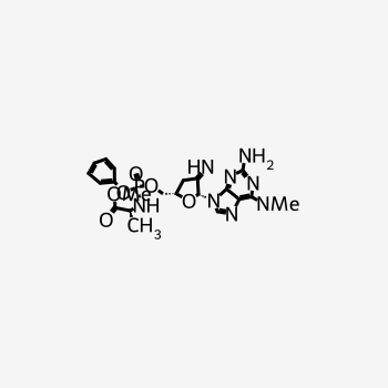 CNc1nc(N)nc2c1ncn2[C@@H]1O[C@H](CO[P@](=O)(N[C@@H](C)C(=O)OC)Oc2ccccc2)CC1=N